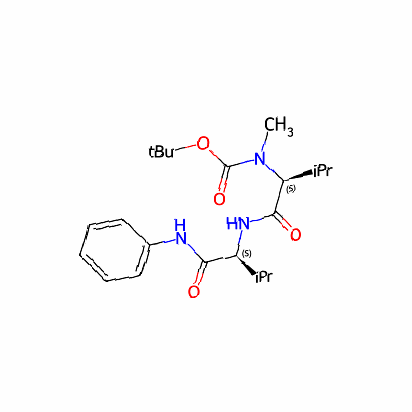 CC(C)[C@H](NC(=O)[C@H](C(C)C)N(C)C(=O)OC(C)(C)C)C(=O)Nc1ccccc1